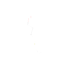 CC(C)SSCCCO